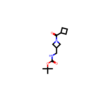 CC(C)(C)OC(=O)NCC1CN(C(=O)C2CCC2)C1